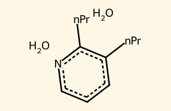 CCCc1cccnc1CCC.O.O